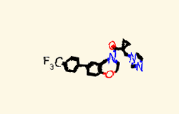 O=C(N1CCOc2ccc(-c3ccc(C(F)(F)F)cc3)cc2C1)C1(Cn2ccnc2)CC1